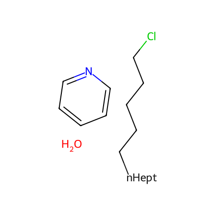 CCCCCCCCCCCCCl.O.c1ccncc1